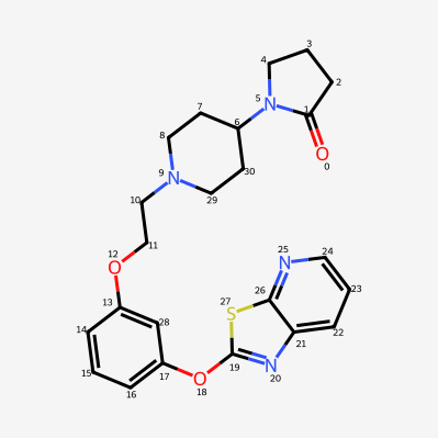 O=C1CCCN1C1CCN(CCOc2cccc(Oc3nc4cccnc4s3)c2)CC1